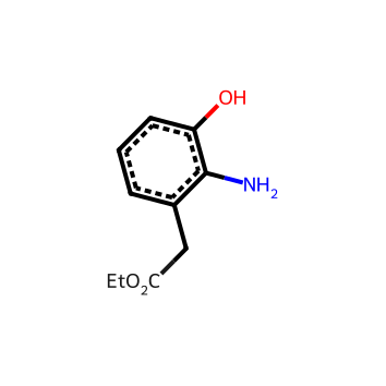 CCOC(=O)Cc1cccc(O)c1N